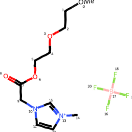 COCCOCCOC(=O)Cn1cc[n+](C)c1.F[B-](F)(F)F